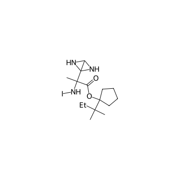 CCC(C)(C)C1(OC(=O)C(C)(NI)C23NC2N3)CCCC1